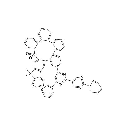 CC1(C)c2ccccc2-c2cc3c(cc21)S(=O)(=O)c1ccccc1-c1ccccc1-c1ccccc1-c1ccc(-c2cc(-c4ccccc4)nc(-c4cnc(-c5ccccc5)nc4)n2)cc1-3